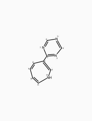 [C]1=C(c2ncncn2)C=CC=CN1